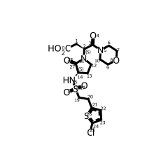 O=C(O)C[C@@H](C(=O)N1CCOCC1)N1CC[C@H](NS(=O)(=O)CCc2ccc(Cl)s2)C1=O